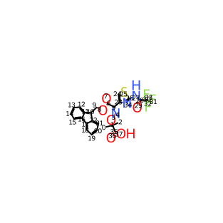 CC(C)(ON=C(C(=O)OCC1c2ccccc2-c2ccccc21)c1csc(NC(=O)C(F)(F)F)n1)C(=O)O